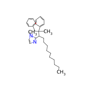 CCCCCCCCCCC(c1nccn1C)C(C)(Cc1ccccc1)c1ccccc1